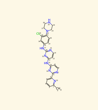 Cc1cccc(-c2nccc(Nc3ccnc(Nc4ccc(N5CCNCC5)c(Cl)c4)n3)n2)n1